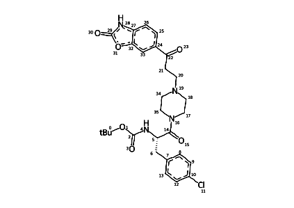 CC(C)(C)OC(=O)N[C@@H](Cc1ccc(Cl)cc1)C(=O)N1CCN(CCC(=O)c2ccc3[nH]c(=O)oc3c2)CC1